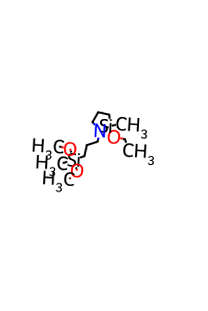 CCO[Si]1(C)CCCN1CCC[Si](C)(OC)OC